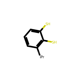 CC(C)c1cccc(S)c1S